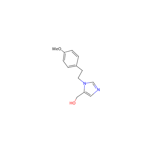 COc1ccc(CCn2cncc2CO)cc1